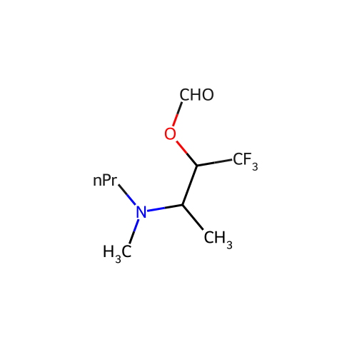 CCCN(C)C(C)C(OC=O)C(F)(F)F